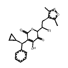 CCC(Cc1c(C)noc1C)C1OC(=O)C(C(c2ccccc2)C2CC2)=C(O)C1=O